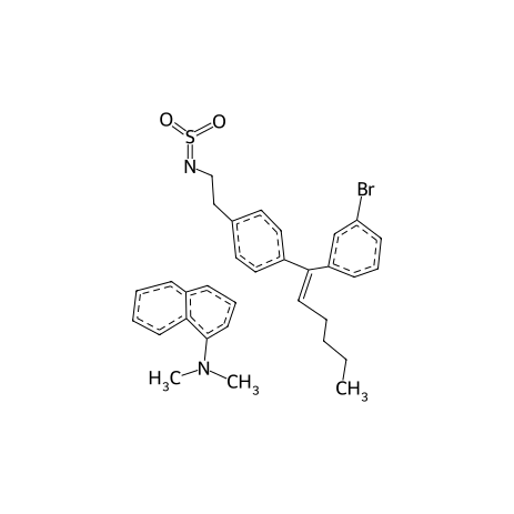 CCCCC=C(c1ccc(CCN=S(=O)=O)cc1)c1cccc(Br)c1.CN(C)c1cccc2ccccc12